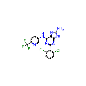 Nc1nc2c(Nc3ccc(C(F)(F)F)nc3)nc(-c3c(Cl)cccc3Cl)nc2[nH]1